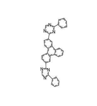 c1ccc(-c2ncnc(-c3ccc4c5ccc(-c6ncnc(-c7ccccc7)n6)cc5c5ccccc5c4c3)n2)cc1